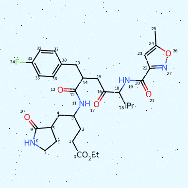 CCOC(=O)CCC(CC1CCNC1=O)NC(=O)C(CC(=O)C(NC(=O)c1cc(C)on1)C(C)C)Cc1ccc(F)cc1